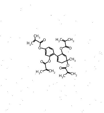 C=C(C)C(=O)OC1=CC(C)(OC(=O)C(=C)C)CC=C1c1ccc(OC(=O)C(=C)C)cc1OC(=O)C(=C)C